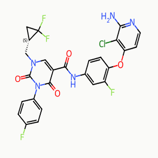 Nc1nccc(Oc2ccc(NC(=O)c3cn(C[C@@H]4CC4(F)F)c(=O)n(-c4ccc(F)cc4)c3=O)cc2F)c1Cl